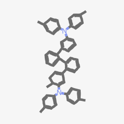 Cc1ccc(N(C2=CC(c3ccccc3-c3ccccc3-c3cccc(N(c4ccc(C)cc4)c4ccc(C)cc4)c3)=CCC2C)c2ccc(C)cc2)cc1